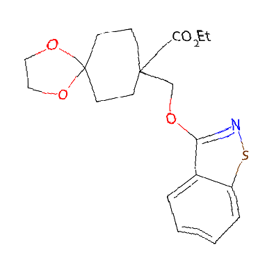 CCOC(=O)C1(COc2nsc3ccccc23)CCC2(CC1)OCCO2